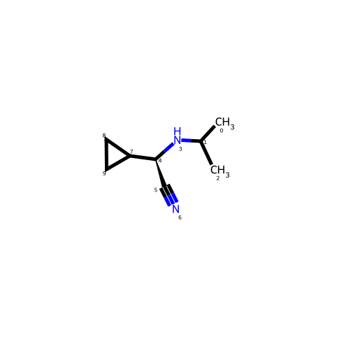 CC(C)N[C@@H](C#N)C1CC1